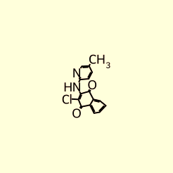 Cc1ccc(NC2=C(Cl)C(=O)c3ccccc3C2=O)nc1